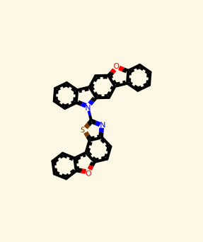 c1ccc2c(c1)oc1cc3c4ccccc4n(-c4nc5ccc6oc7ccccc7c6c5s4)c3cc12